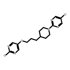 Clc1cnc(N2CCC(CCCOc3cnc(Cl)nc3)CC2)nc1